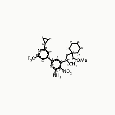 COCC1(CN(C)c2cc(-c3cc(C4CC4)nc(C(F)(F)F)c3)nc(N)c2[N+](=O)[O-])CCCCC1